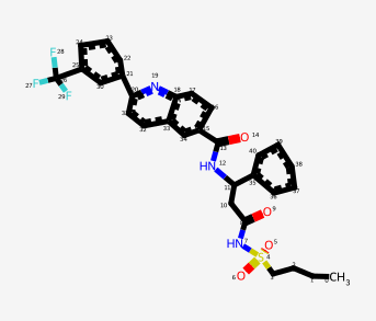 CCCCS(=O)(=O)NC(=O)CC(NC(=O)c1ccc2nc(-c3cccc(C(F)(F)F)c3)ccc2c1)c1ccccc1